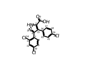 O=C(O)c1[nH]nc(-c2ccc(Cl)cc2Cl)c1-c1ccc(Cl)cc1